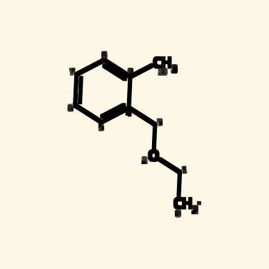 [CH2]COCc1ccccc1C